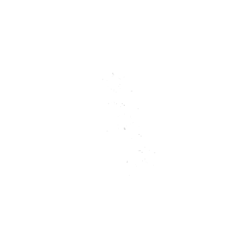 Cc1c(CN2CCN(C(=O)C3CCCC3)[C@@H](C)C2)cc(F)cc1NC(=O)c1c(F)cccc1F